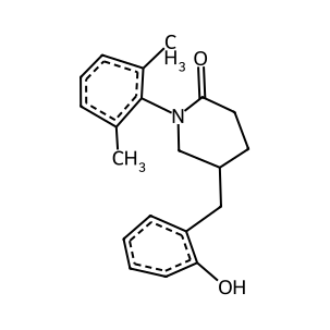 Cc1cccc(C)c1N1CC(Cc2ccccc2O)CCC1=O